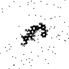 C=C(O)[C@@H](NC(=O)[C@@H](C)N1CCc2sc(-c3nc(NC4CCOCC4)ncc3Cl)cc2C1=O)c1cc(F)cc(OC)c1